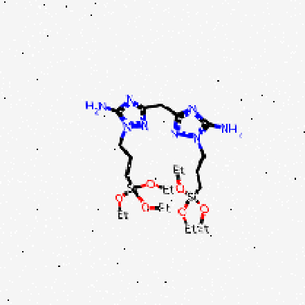 CCO[Si](CCCn1nc(Cc2nc(N)n(CCC[Si](OCC)(OCC)OCC)n2)nc1N)(OCC)OCC